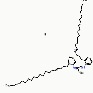 CCCCCCCCCCCCCCCCCCCCCCCC/C=C/CCCc1ccccc1/N=C(\C=N\c1ccccc1CCC/C=C/CCCCCCCCCCCCCCCCCCCCCCCC)CCCC.[Ni]